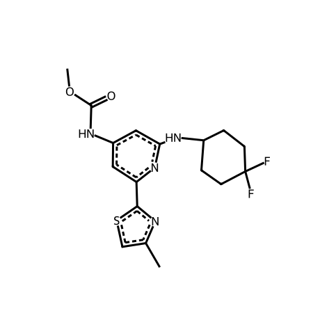 COC(=O)Nc1cc(NC2CCC(F)(F)CC2)nc(-c2nc(C)cs2)c1